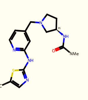 CNC(=O)N[C@@H]1CCN(Cc2ccnc(Nc3ncc(C#N)s3)c2)C1